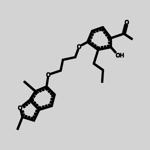 CCCc1c(OCCCOc2ccc3cc(C)oc3c2C)ccc(C(C)=O)c1O